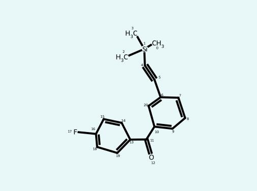 C[Si](C)(C)C#Cc1cccc(C(=O)c2ccc(F)cc2)c1